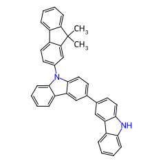 CC1(C)c2ccccc2-c2ccc(-n3c4ccccc4c4cc(-c5ccc6[nH]c7ccccc7c6c5)ccc43)cc21